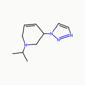 CC(C)N1CC=CC(n2ccnn2)C1